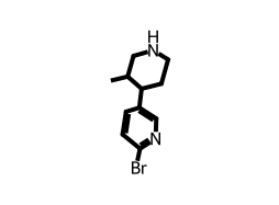 CC1CNCCC1c1ccc(Br)nc1